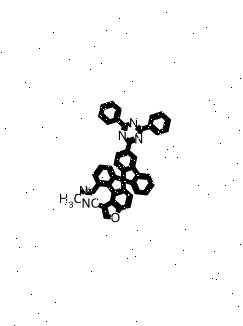 C/N=C/c1cccc2c1-c1c(ccc3occ(C#N)c13)C21c2ccccc2-c2cc(-c3nc(-c4ccccc4)nc(-c4ccccc4)n3)ccc21